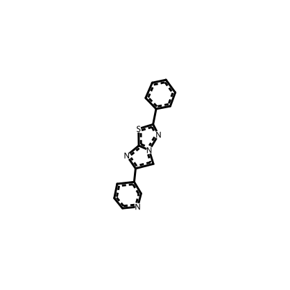 c1ccc(-c2nn3cc(-c4cccnc4)nc3s2)cc1